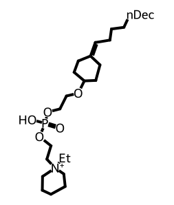 CCCCCCCCCCCCCC=C1CCC(OCCOP(=O)(O)OCC[N+]2(CC)CCCCC2)CC1